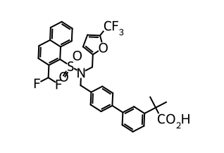 CC(C)(C(=O)O)c1cccc(-c2ccc(CN(Cc3ccc(C(F)(F)F)o3)S(=O)(=O)c3c(C(F)F)ccc4ccccc34)cc2)c1